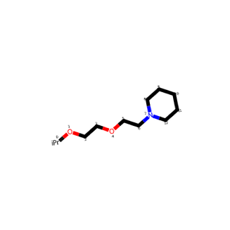 CC(C)OCCOCCN1CCCCC1